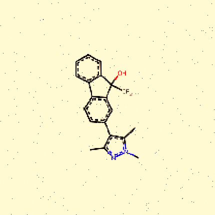 Cc1nn(C)c(C)c1-c1ccc2c(c1)C(O)(C(F)(F)F)c1ccccc1-2